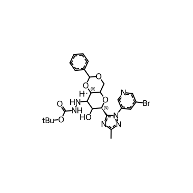 Cc1nc([C@@H]2OC3COC(c4ccccc4)O[C@@H]3C(NNC(=O)OC(C)(C)C)C2O)n(-c2cncc(Br)c2)n1